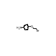 Nc1ccc(OCCBr)cc1